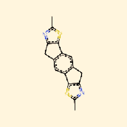 Cc1nc2c(s1)-c1cc3c(cc1C2)-c1sc(C)nc1C3